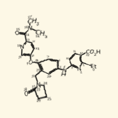 CCc1nc(Nc2ccc(Oc3ccc(C(=O)N(C)C)nc3)c(CN3CCCC3=O)c2)ccc1C(=O)O